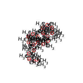 C[SiH](C)OO[Si](C)(C)O[Si](C)(C)O[Si](C)(C)O[Si](C)(C)O[Si](C)(C)O[Si](C)(C)O[Si](C)(C)O[Si](C)(C)O[Si](C)(C)O[Si](C)(C)O[Si](C)(C)O[Si](C)(C)O[Si](C)(C)O[Si](C)(C)O[Si](C)(C)O[Si](C)(C)O[Si](C)(C)O[SiH](C)C